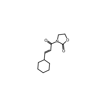 O=C(C=CC1CCCCC1)N1CCOC1=O